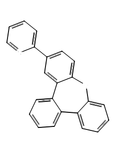 c1ccc(-c2ccc3c(c2)-c2ccccc2-c2ccccc2O3)nc1